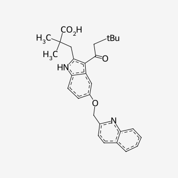 CC(C)(C)CC(=O)c1c(CC(C)(C)C(=O)O)[nH]c2ccc(OCc3ccc4ccccc4n3)cc12